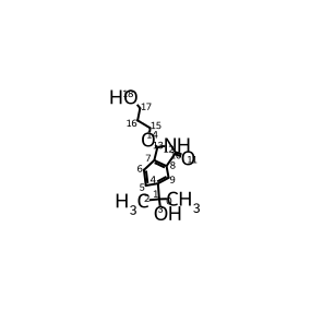 CC(C)(O)c1ccc2c(c1)C(=O)NC2OCCCO